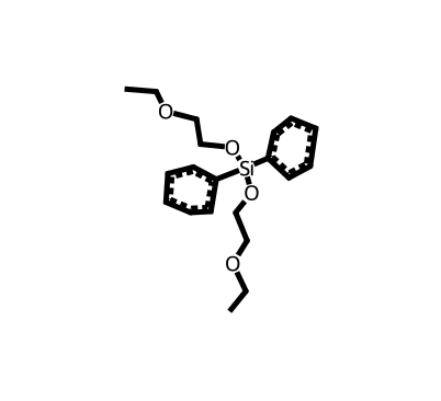 CCOCCO[Si](OCCOCC)(c1ccccc1)c1ccccc1